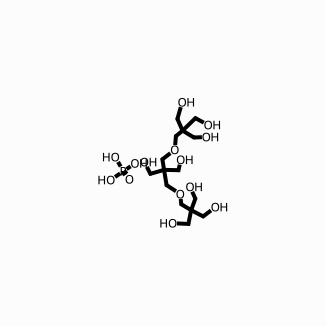 O=P(O)(O)O.OCC(CO)(CO)COCC(CO)(CO)COCC(CO)(CO)CO